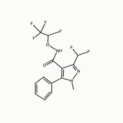 Cn1nc(C(F)F)c(C(=O)NOC(F)C(F)(F)F)c1-c1ccccc1